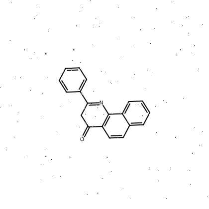 O=C1CC(c2ccccc2)=Nc2c1ccc1ccccc21